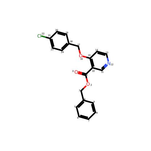 O=C(OCc1ccccc1)c1cnccc1OCc1ccc(Cl)cc1